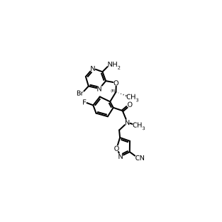 C[C@@H](Oc1nc(Br)cnc1N)c1cc(F)ccc1C(=O)N(C)Cc1cc(C#N)no1